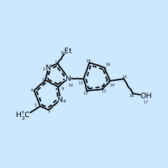 CCc1nc2cc(C)cnc2n1-c1ccc(CCO)cc1